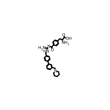 NC(=NC(=O)c1ccc(C[C@H](N)C(=O)O)cc1)NCc1ccc(-c2cccc(CN3CCCCC3)c2)cc1